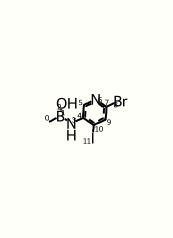 CB(O)Nc1cnc(Br)cc1I